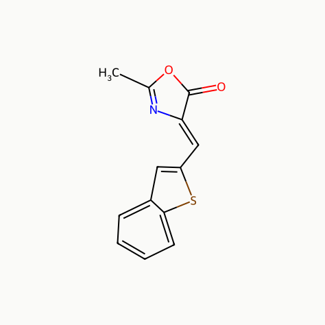 CC1=N/C(=C\c2cc3ccccc3s2)C(=O)O1